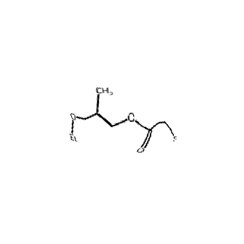 CCOC(C)COC(=O)CF